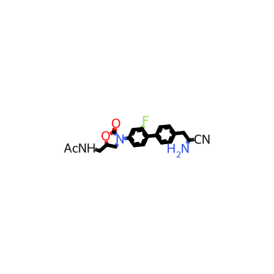 CC(=O)NCC1CN(c2ccc(-c3ccc(CC(N)C#N)cc3)c(F)c2)C(=O)O1